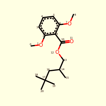 COc1cccc(OC)c1C(=O)OCC(C)CC(C)(C)C